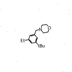 CCc1cc(CN2CCOCC2)cc(C(C)(C)C)c1